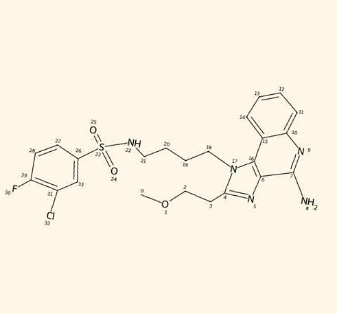 COCCc1nc2c(N)nc3ccccc3c2n1CCCCNS(=O)(=O)c1ccc(F)c(Cl)c1